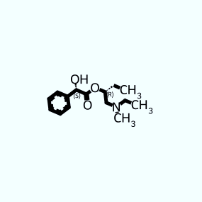 CC[C@H](CN(C)CC)OC(=O)[C@@H](O)c1ccccc1